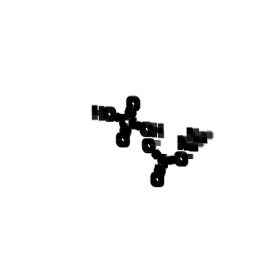 O=S([O-])[O-].[Na+].[Na+].[O]=[Cr](=[O])([OH])[OH]